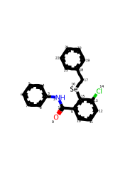 O=C(Nc1ccccc1)c1cccc(Cl)c1[Se]Cc1ccccc1